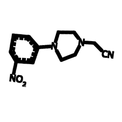 N#CCN1CCN(c2cccc([N+](=O)[O-])c2)CC1